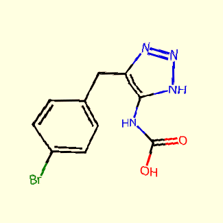 O=C(O)Nc1[nH]nnc1Cc1ccc(Br)cc1